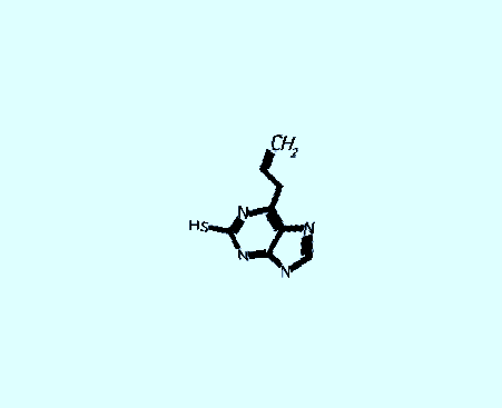 C=CCc1nc(S)nc2c1N=C[N]2